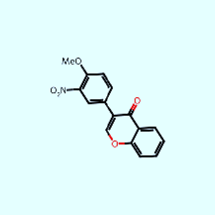 COc1ccc(-c2coc3ccccc3c2=O)cc1[N+](=O)[O-]